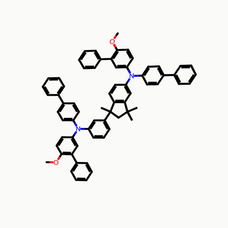 COc1ccc(N(c2ccc(-c3ccccc3)cc2)c2cccc(C3(C)CC(C)(C)c4cc(N(c5ccc(-c6ccccc6)cc5)c5ccc(OC)c(-c6ccccc6)c5)ccc43)c2)cc1-c1ccccc1